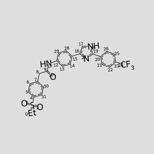 CCS(=O)(=O)c1ccc(CC(=O)Nc2ccc(-c3c[nH]c(-c4ccc(C(F)(F)F)cc4)n3)cc2)cc1